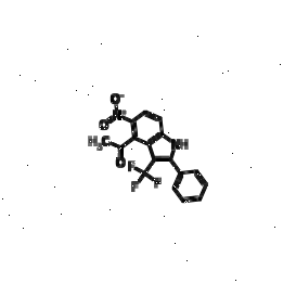 CC(=O)c1c([N+](=O)[O-])ccc2[nH]c(-c3ccccc3)c(C(F)(F)F)c12